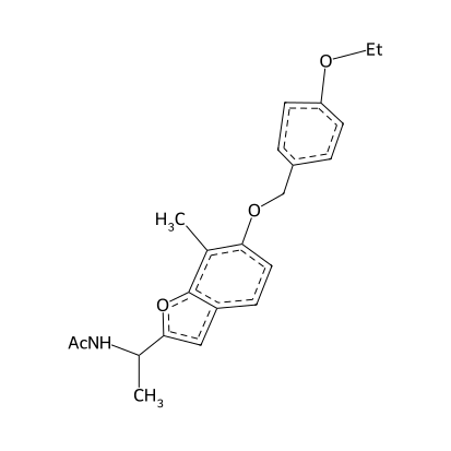 CCOc1ccc(COc2ccc3cc(C(C)NC(C)=O)oc3c2C)cc1